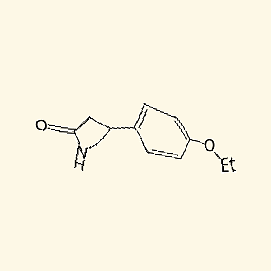 [CH2]COc1ccc(C2CC(=O)N2)cc1